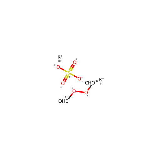 O=COOC=O.O=S(=O)([O-])[O-].[K+].[K+]